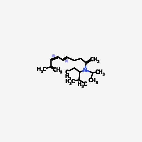 C=C(C)/C=C\C=C\CCC(=C)N(C(C)C)C(CC)C(C)C